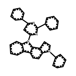 c1ccc(-c2cc(-n3c4ccccc4c4ccc5c(ccn5-c5ccccc5)c43)nc(-c3ccccc3)n2)cc1